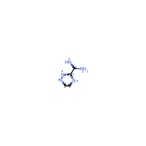 N=C(N)c1n[c]cnn1